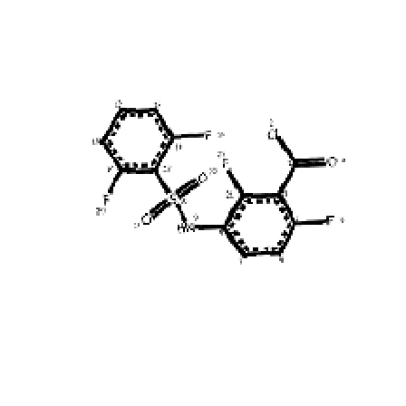 O=C(Cl)c1c(F)ccc(NS(=O)(=O)c2c(F)cccc2F)c1F